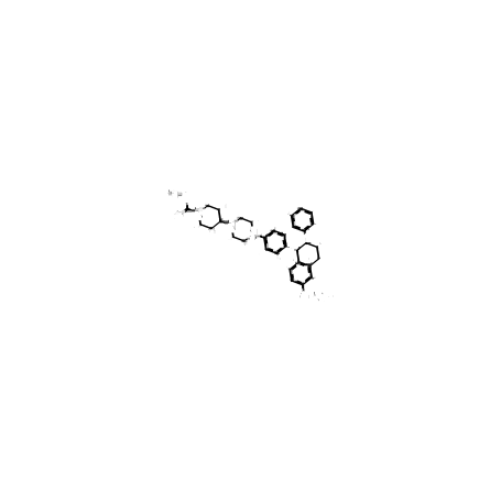 COc1ccc2c(c1)CC[C@H](c1ccccc1)[C@@H]2c1ccc(N2CCN(C3CCN(C(=O)OC(C)(C)C)CC3)CC2)cc1